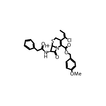 C/C=C(/Cl)C1=C(C(=O)OCc2ccc(OC)cc2)N2C(=O)[C@@H](NC(=O)Cc3ccccc3)[C@H]2SC1